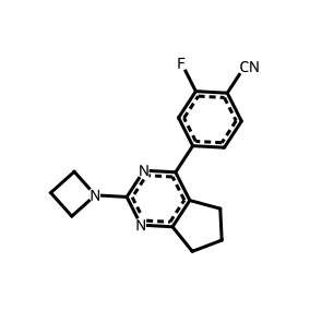 N#Cc1ccc(-c2nc(N3CCC3)nc3c2CCC3)cc1F